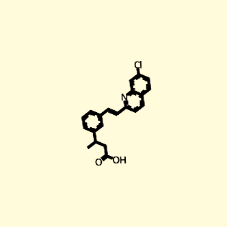 CC(CC(=O)O)c1cccc(C=Cc2ccc3ccc(Cl)cc3n2)c1